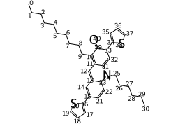 CCCCCCCCCCC1=C2C=C3C=C(c4cccs4)C=CC3N(CCCCCC)C2=CC(c2cccs2)C1=O